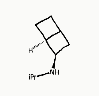 CC(C)N[C@@H]1CC2CC[C@@H]21